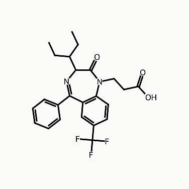 CCC(CC)C1N=C(c2ccccc2)c2cc(C(F)(F)F)ccc2N(CCC(=O)O)C1=O